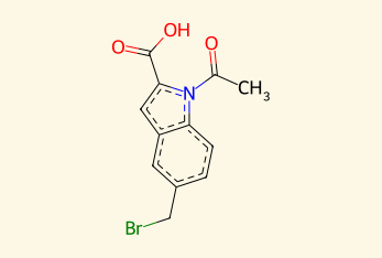 CC(=O)n1c(C(=O)O)cc2cc(CBr)ccc21